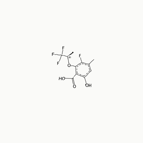 Cc1cc(O)c(C(=O)O)c(O[C@H](C)C(F)(F)F)c1F